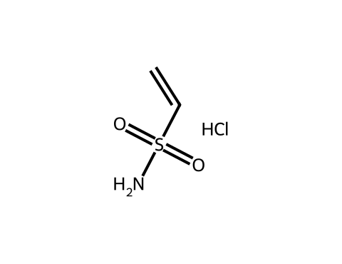 C=CS(N)(=O)=O.Cl